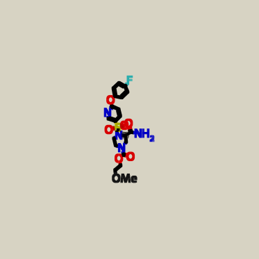 COCCOC(=O)N1CCN(S(=O)(=O)c2ccc(Oc3ccc(F)cc3)nc2)[C@@H](C(N)=O)C1